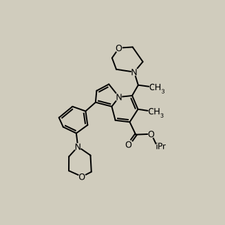 Cc1c(C(=O)OC(C)C)cc2c(-c3cccc(N4CCOCC4)c3)ccn2c1C(C)N1CCOCC1